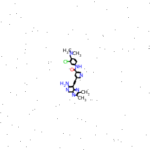 Cc1nc2cnc(N)c(C#Cc3cncc(C(=O)Nc4ccc(CN(C)C)c(Cl)c4)c3)c2nc1C